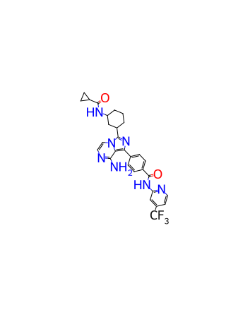 Nc1nccn2c(C3CCCC(NC(=O)C4CC4)C3)nc(-c3ccc(C(=O)Nc4cc(C(F)(F)F)ccn4)cc3)c12